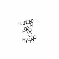 CC1CCCN1C(=O)C1CCC(NS(=O)(=O)c2cnc3c(c2)N(C)CCN3C)CC1